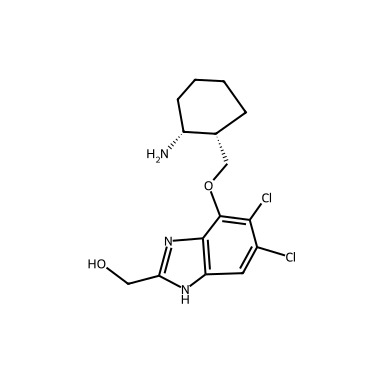 N[C@@H]1CCCC[C@@H]1COc1c(Cl)c(Cl)cc2[nH]c(CO)nc12